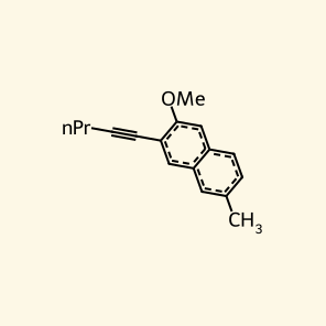 CCCC#Cc1cc2cc(C)ccc2cc1OC